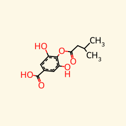 CC(C)CC(=O)Oc1c(O)cc(C(=O)O)cc1O